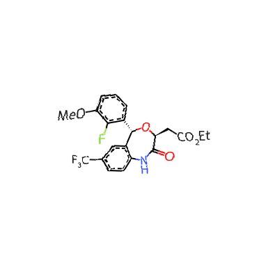 CCOC(=O)C[C@@H]1O[C@@H](c2cccc(OC)c2F)c2cc(C(F)(F)F)ccc2NC1=O